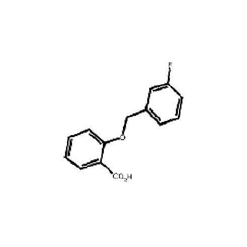 O=C(O)c1ccccc1OCc1cccc(F)c1